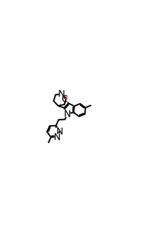 Cc1ccc2c(c1)c1c(n2CCc2ccc(C)nn2)C2CCN(CC2)C1